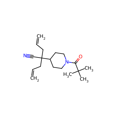 C=CCC(C#N)(CC=C)C1CCN(C(=O)C(C)(C)C)CC1